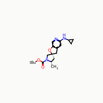 C[C@H]1C[C@]2(Cc3cc(NC4CC4)ncc3O2)CN1C(=O)OC(C)(C)C